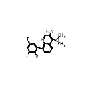 CN(C)c1c(N)cnc2c(-c3cc(F)cc(F)c3F)cccc12